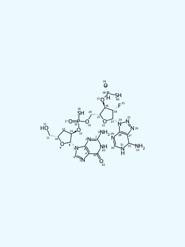 Nc1nc2c(ncn2[C@@H]2O[C@H](CO)C[C@H]2OP(=O)(S)OC[C@H]2O[C@@H](n3nnc4c3N=CNC4N)[C@@H](F)[C@@H]2O[PH](=O)S)c(=O)[nH]1